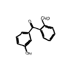 O=Cc1ccccc1C(=O)c1cccc(O)c1